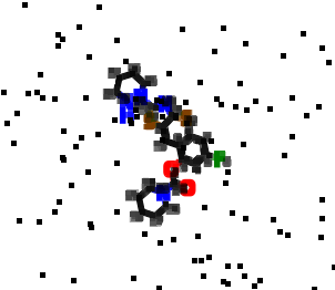 O=C(Oc1cc(F)ccc1C=C1SC(N2CCCCN2)=NC1=S)N1CCCCC1